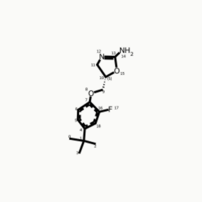 CC(C)(C)c1ccc(OC[C@@H]2CN=C(N)O2)c(F)c1